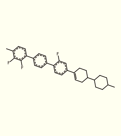 Cc1ccc(-c2ccc(-c3ccc(C4=CCC(C5CCC(C)CC5)CC4)cc3F)cc2)c(F)c1F